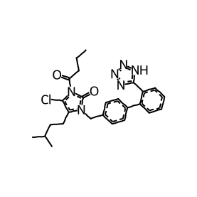 CCCC(=O)n1c(Cl)c(CCC(C)C)n(Cc2ccc(-c3ccccc3-c3nnn[nH]3)cc2)c1=O